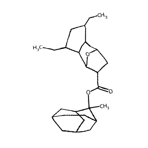 CCC1CC(CC)C2C3OC(CC3C(=O)OC3(C)C4CC5CC(C4)CC3C5)C12